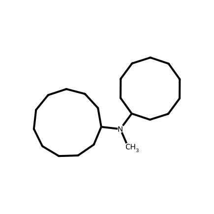 CN(C1CCCCCCCCCC1)C1CCCCCCCCC1